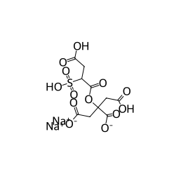 O=C([O-])CC(CC(=O)O)(OC(=O)C(CC(=O)O)S(=O)(=O)O)C(=O)[O-].[Na+].[Na+]